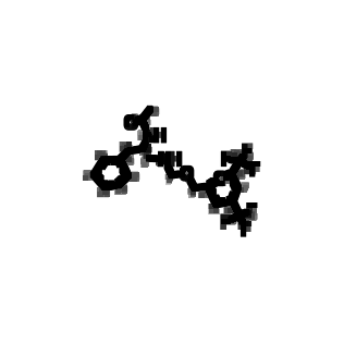 CC(=O)N[C@H](CNCOCc1cc(C(F)(F)F)cc(C(F)(F)F)c1)Cc1ccccc1